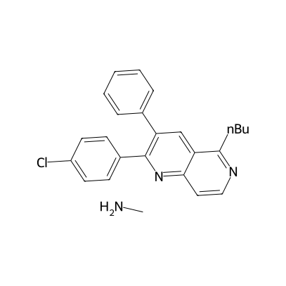 CCCCc1nccc2nc(-c3ccc(Cl)cc3)c(-c3ccccc3)cc12.CN